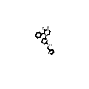 O=C1NCCN(c2ccnc(NCc3ccco3)n2)C1c1ccccc1